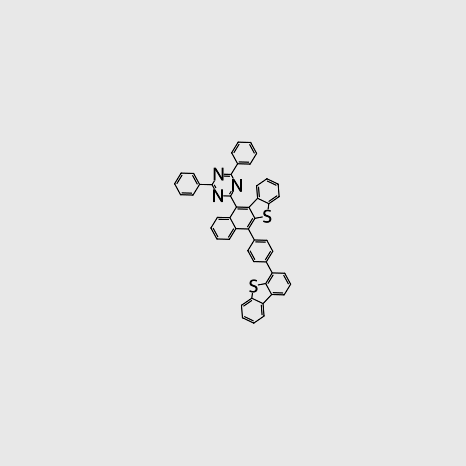 c1ccc(-c2nc(-c3ccccc3)nc(-c3c4ccccc4c(-c4ccc(-c5cccc6c5sc5ccccc56)cc4)c4sc5ccccc5c34)n2)cc1